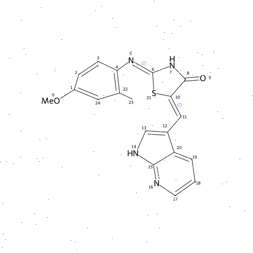 COc1ccc(/N=C2/NC(=O)/C(=C/c3c[nH]c4ncccc34)S2)c(C)c1